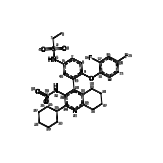 CCS(=O)(=O)Nc1ccc(Oc2ccc(F)cc2F)c(-c2c3c(nc(C4CCCCC4)c2N[SH](=O)=O)CCCC3)c1